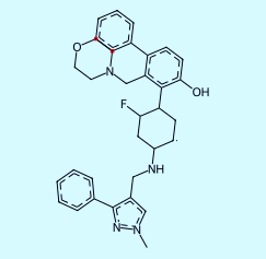 Cn1cc(CNC2[CH]CC(c3c(O)ccc(-c4ccccc4)c3CN3CCOCC3)C(F)C2)c(-c2ccccc2)n1